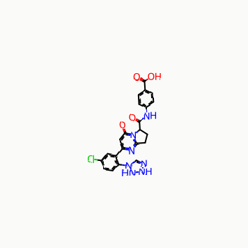 O=C(O)c1ccc(NC(=O)C2CCc3nc(-c4cc(Cl)ccc4N4C=NNN4)cc(=O)n32)cc1